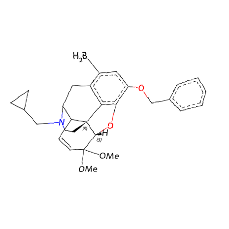 Bc1cc(OCc2ccccc2)c2c3c1CC1C4C=CC(OC)(OC)[C@@H](O2)[C@@]34CCN1CC1CC1